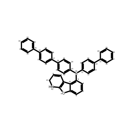 C1=Cc2c(oc3cccc(N(c4ccc(-c5ccccc5)cc4)c4ccc(-c5ccc(-c6ccccc6)cc5)cc4)c23)NC1